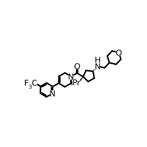 CC(C)[C@]1(C(=O)N2CC=C(c3cc(C(F)(F)F)ccn3)CC2)CC[C@@H](NCC2CCOCC2)C1